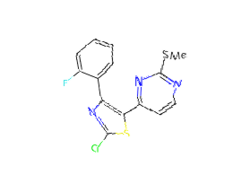 CSc1nccc(-c2sc(Cl)nc2-c2ccccc2F)n1